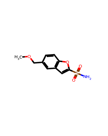 COCc1ccc2oc(S(N)(=O)=O)cc2c1